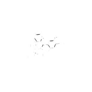 Cc1cc(O)c(/C(=N/OC(C)(C)C)c2ncccc2O)cc1Br